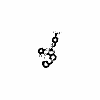 Cc1cccc(C)c1Oc1nc(NCc2ccc(C(=O)O)cc2)nc2c1CN(Cc1ccccc1)CC2